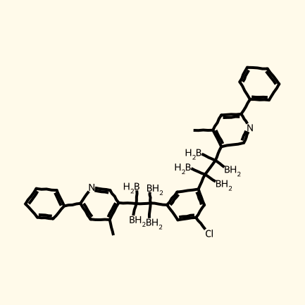 BC(B)(c1cc(Cl)cc(C(B)(B)C(B)(B)c2cnc(-c3ccccc3)cc2C)c1)C(B)(B)c1cnc(-c2ccccc2)cc1C